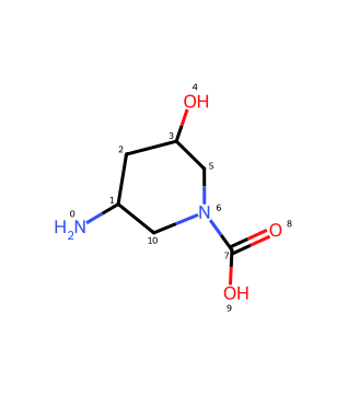 NC1CC(O)CN(C(=O)O)C1